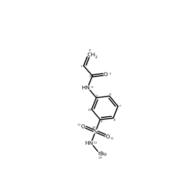 C=CC(=O)Nc1cccc(S(=O)(=O)NC(C)(C)C)c1